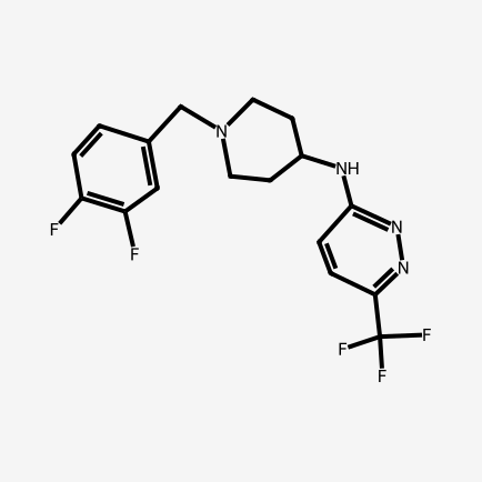 Fc1ccc(CN2CCC(Nc3ccc(C(F)(F)F)nn3)CC2)cc1F